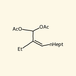 CCCCCCCC=C(CC)C(OC(C)=O)OC(C)=O